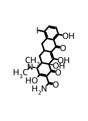 CN(C)[C@@H]1C(O)=C(C(N)=O)C(=O)[C@@]2(O)C(O)=C3C(=O)c4c(O)ccc(I)c4CC3CC12